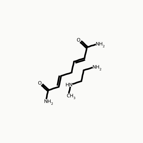 CNCCN.NC(=O)C=CCC=CC(N)=O